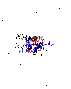 CCn1nc(C)cc1C(=O)N=c1n(C)c2cc(C(N)=O)ccc2n1CCC(CCn1c(=NC(=O)c2cc(C)nn2CC)n(C)c2cc(C(N)=O)ccc21)OCC(=O)OC(C)C